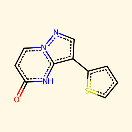 O=c1ccn2ncc(-c3cccs3)c2[nH]1